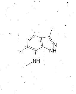 CNc1c(C)ccc2c(C)n[nH]c12